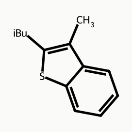 C[CH]C(C)c1sc2ccccc2c1C